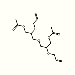 C=CCOC(COCC(COC(C)=O)OCC=C)COC(C)=O